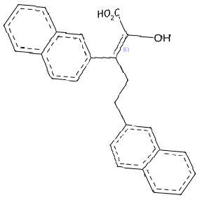 O=C(O)/C(O)=C(/CCc1ccc2ccccc2c1)c1ccc2ccccc2c1